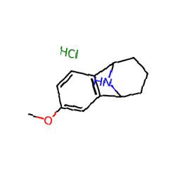 COc1ccc2c(c1)C1CCCC2N1.Cl